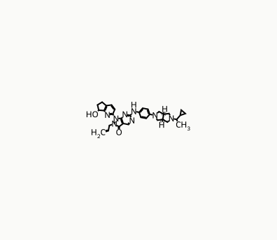 C=CCn1c(=O)c2cnc(Nc3ccc(N4C[C@@H]5CN(C(C)C6CC6)C[C@@H]5C4)cc3)nc2n1-c1ccc2c(n1)C(O)CC2